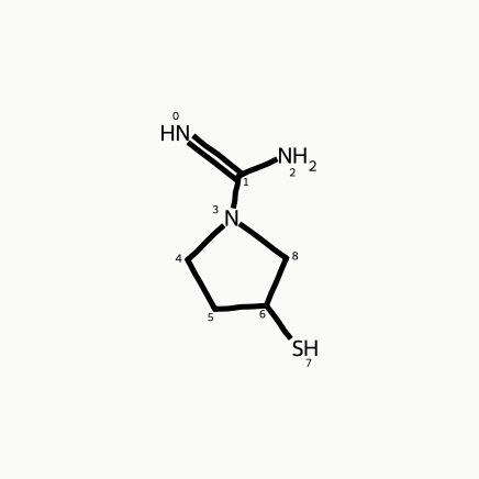 N=C(N)N1CCC(S)C1